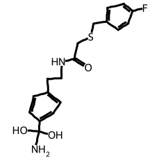 NC(O)(O)c1ccc(CCNC(=O)CSCc2ccc(F)cc2)cc1